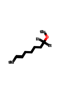 CCC(CC)(CCCC/C=C/C(C)(C)C)OC(C)(C)C